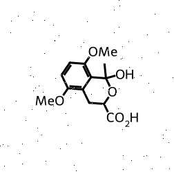 COc1ccc(OC)c2c1CC(C(=O)O)OC2(C)O